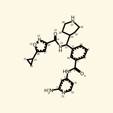 Nc1cc(NC(=O)c2cccc(C(NC(=O)c3cc(C4CC4)on3)C3CCNCC3)c2)ccn1